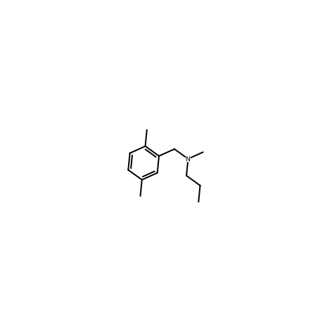 CCCN(C)Cc1cc(C)ccc1C